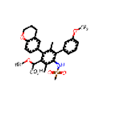 Cc1c(-c2cccc(OC(F)(F)F)c2)c(NS(C)(=O)=O)c(C)c(C(OC(C)(C)C)C(=O)O)c1-c1ccc2c(c1)CCCO2